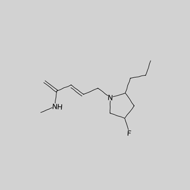 C=C(/C=C/CN1CC(F)CC1CCC)NC